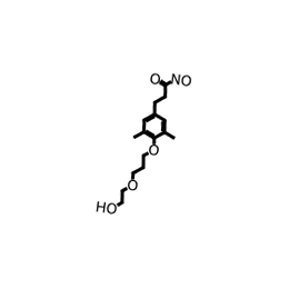 Cc1cc(CCC(=O)N=O)cc(C)c1OCCCOCCO